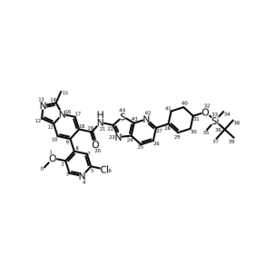 COc1cnc(Cl)cc1-c1cc2cnc(C)n2cc1C(=O)Nc1nc2ccc(C3=CCC(O[Si](C)(C)C(C)(C)C)CC3)nc2s1